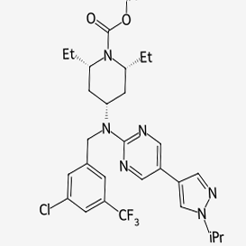 CC[C@@H]1C[C@H](N(Cc2cc(Cl)cc(C(F)(F)F)c2)c2ncc(-c3cnn(C(C)C)c3)cn2)C[C@H](CC)N1C(=O)OC(C)C